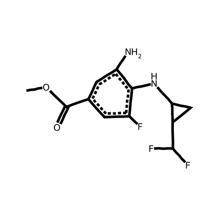 COC(=O)c1cc(N)c(NC2CC2C(F)F)c(F)c1